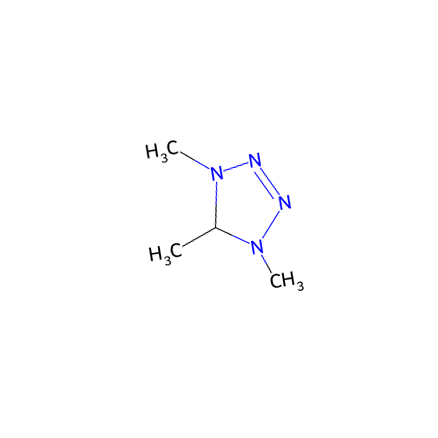 CC1N(C)N=NN1C